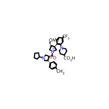 COC[C@H]1CN(C(=O)[C@@H]2CN(C3CCCC3)C[C@H]2c2ccc(C)cc2)C[C@@H]1c1ccc(C(F)(F)F)cc1N1CCC(C(=O)O)CC1